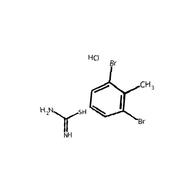 Cc1c(Br)cccc1Br.Cl.N=C(N)S